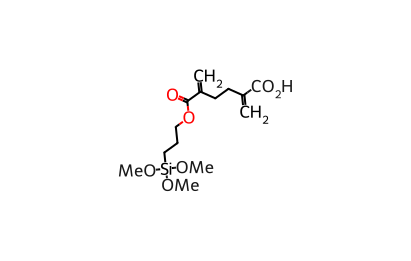 C=C(CCC(=C)C(=O)OCCC[Si](OC)(OC)OC)C(=O)O